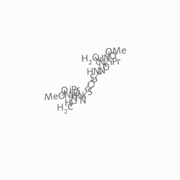 C=C1C[C@@H](c2ncc(-c3cc4cc5sc(-c6cnc([C@@H]7CC(=C)CN7C(=O)[C@@H](NC(=O)OC)C(C)C)[nH]6)cc5cc4s3)[nH]2)N(C(=O)[C@@H](NC(=O)OC)C(C)C)C1